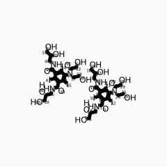 O=C(NCC(O)CO)c1c(I)c(C(=O)NCC(O)CO)c(I)c(N(CCO)C(=O)CO)c1I.O=C(NCC(O)CO)c1c(I)c(C(=O)NCC(O)CO)c(I)c(N(CCO)C(=O)CO)c1I